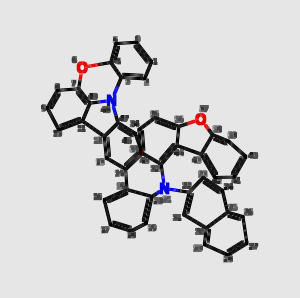 c1ccc2c(c1)Oc1cccc3c4cc(-c5ccccc5N(c5ccc6ccccc6c5)c5cccc6oc7ccccc7c56)ccc4n-2c13